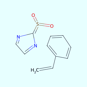 C=Cc1ccccc1.O=S(=O)=C1N=CC=N1